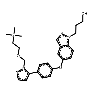 C[Si](C)(C)CCOCn1nccc1-c1ccc(Oc2ccc3c(cnn3CCCO)c2)cc1